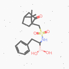 CC1(C)C2CCC1(CS(=O)(=O)NC(Cc1ccccc1)B(O)O)C(=O)C2